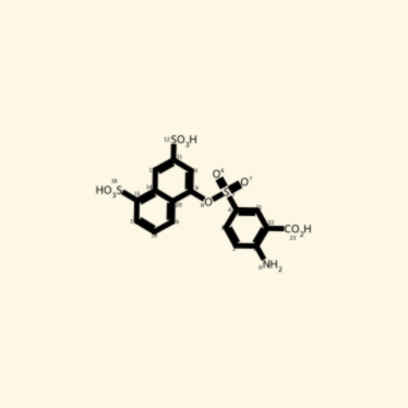 Nc1ccc(S(=O)(=O)Oc2cc(S(=O)(=O)O)cc3c(S(=O)(=O)O)cccc23)cc1C(=O)O